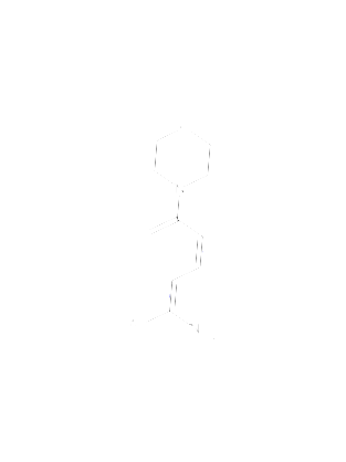 C=C(/C=C\C=C(/N)C(C)=O)N1CCOCC1